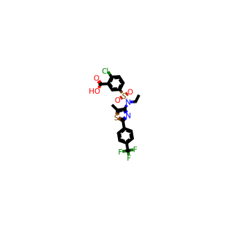 CCN(c1nc(-c2ccc(C(F)(F)F)cc2)sc1C)S(=O)(=O)c1ccc(Cl)c(C(=O)O)c1